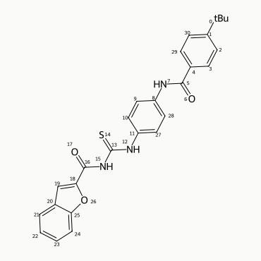 CC(C)(C)c1ccc(C(=O)Nc2ccc(NC(=S)NC(=O)c3cc4ccccc4o3)cc2)cc1